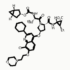 CC[C@@H]1C[C@]1(NC(=O)[C@@H]1C[C@@H](Oc2cc(C3CCCCC3)nc3c(Cl)c(OCCN4CCOCC4)ccc23)CN1C(=O)[C@@H](NC(=O)O[C@@H]1C[C@@H]2C[C@@H]2C1)C(C)(C)C)C(=O)O